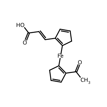 CC(=O)C1=[C]([Fe][C]2=C(C=CC(=O)O)C=CC2)CC=C1